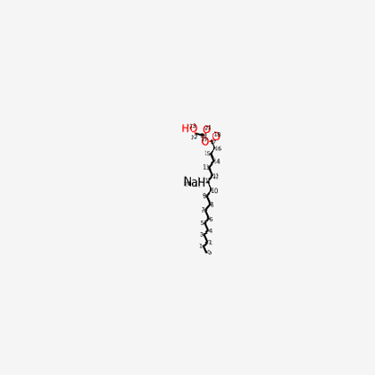 CCCCCCCCCCCCCCCCCC(=O)OC(=O)CO.[NaH]